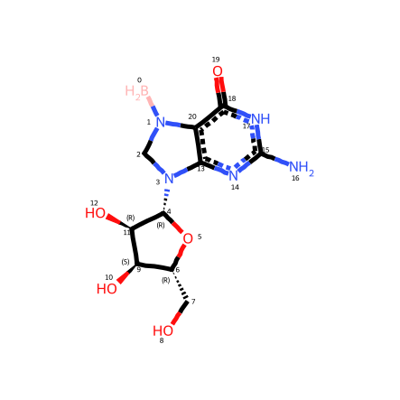 BN1CN([C@@H]2O[C@H](CO)[C@@H](O)[C@H]2O)c2nc(N)[nH]c(=O)c21